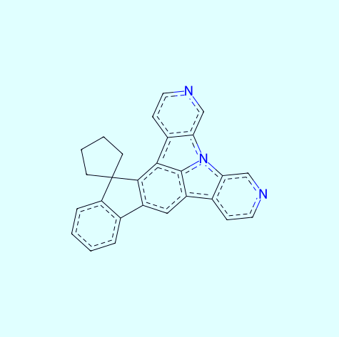 c1ccc2c(c1)-c1cc3c4ccncc4n4c5cnccc5c(c1C21CCCC1)c34